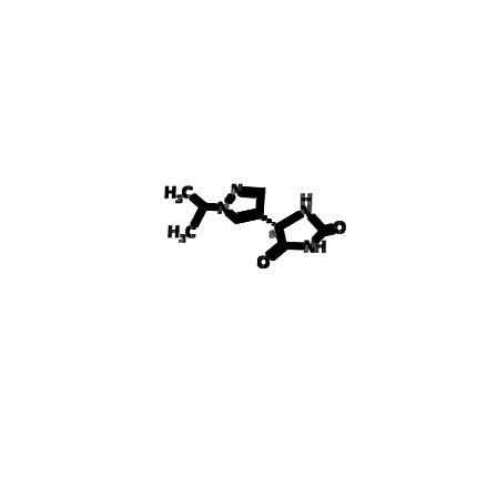 CC(C)n1cc([C@@H]2NC(=O)NC2=O)cn1